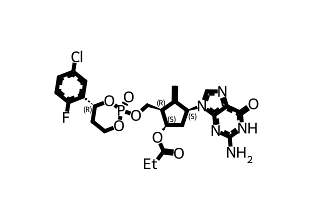 C=C1[C@H](COP2(=O)OCC[C@H](c3cc(Cl)ccc3F)O2)[C@@H](OC(=O)CC)C[C@@H]1n1cnc2c(=O)[nH]c(N)nc21